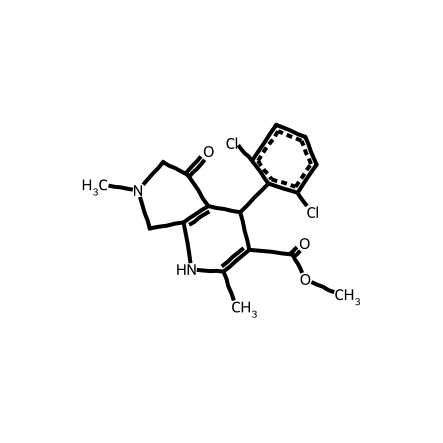 COC(=O)C1=C(C)NC2=C(C(=O)CN(C)C2)C1c1c(Cl)cccc1Cl